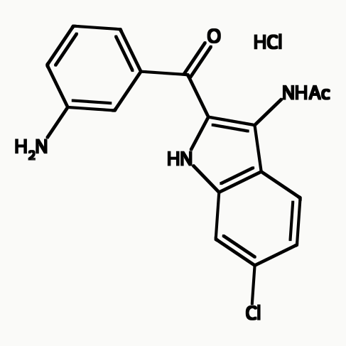 CC(=O)Nc1c(C(=O)c2cccc(N)c2)[nH]c2cc(Cl)ccc12.Cl